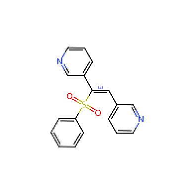 O=S(=O)(/C(=C\c1cccnc1)c1cccnc1)c1ccccc1